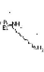 CCCC(CC)=C(N)CCCCCCCCCCCN